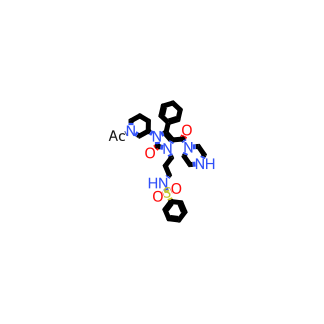 CC(=O)N1CCCC(n2c(C3=CCCC=C3)c(C(=O)N3CCNCC3)n(CCCNS(=O)(=O)c3ccccc3)c2=O)C1